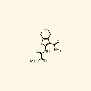 COC(=O)C(=O)Nc1sc2c(c1C(N)=O)CCOC2